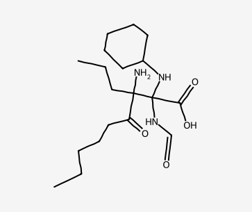 CCCCCC(=O)C(N)(CCC)C(NC=O)(NC1CCCCC1)C(=O)O